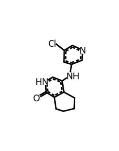 O=c1[nH]cc(Nc2cncc(Cl)c2)c2c1CCCC2